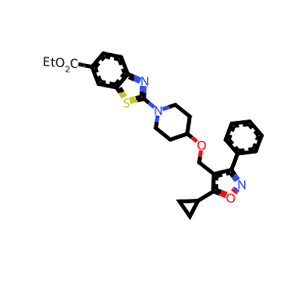 CCOC(=O)c1ccc2nc(N3CCC(OCc4c(-c5ccccc5)noc4C4CC4)CC3)sc2c1